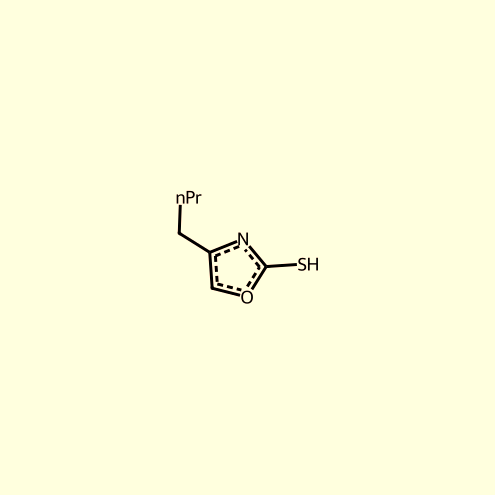 CCCCc1coc(S)n1